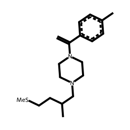 C=C(c1ccc(C)cc1)N1CCN(CC(C)CCSC)CC1